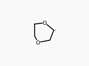 [C]1COCCO1